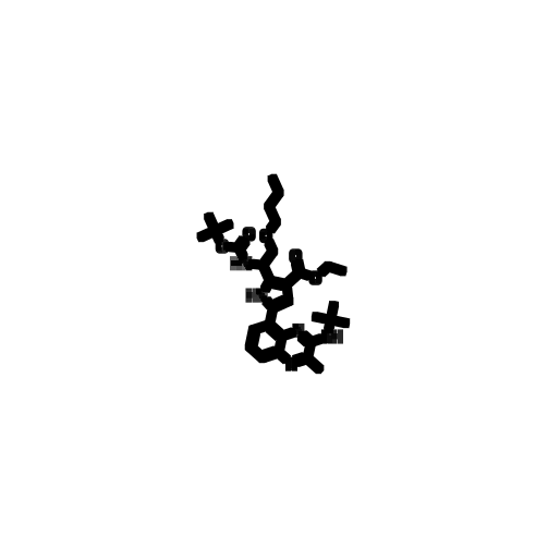 CCCCOCC(NC(=O)OC(C)(C)C)c1[nH]c(-c2cccc3nc(C)c(NC(C)(C)C)nc23)cc1C(=O)OCC